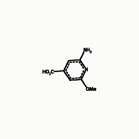 COc1cc(C(=O)O)cc(N)n1